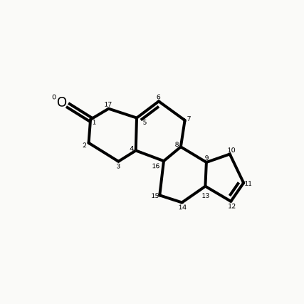 O=C1CCC2C(=CCC3C4CC=CC4CCC23)C1